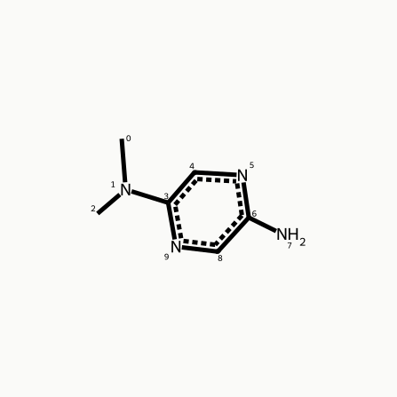 CN(C)c1cnc(N)cn1